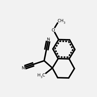 COc1ccc2c(c1)C(C)(C(C#N)C#N)CCC2